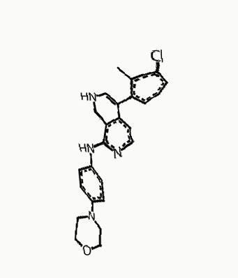 Cc1c(Cl)cccc1C1=CNCc2c1ccnc2Nc1ccc(N2CCOCC2)cc1